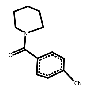 N#Cc1ccc(C(=O)N2CC[CH]CC2)cc1